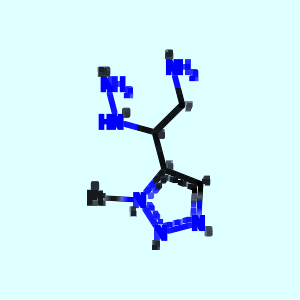 CCn1nncc1C(CN)NN